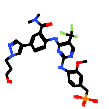 COc1cc(CP(=O)(O)O)ccc1Nc1ncc(C(F)(F)F)c(Nc2ccc(-c3cnn(CCCO)c3)cc2C(=O)N(C)C)n1